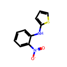 O=[N+]([O-])c1ccccc1Nc1cccs1